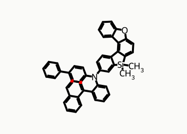 C[Si]1(C)c2cc(N(c3ccc(-c4ccccc4)cc3)c3ccccc3-c3cccc4ccccc34)ccc2-c2c1ccc1oc3ccccc3c21